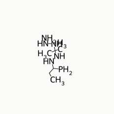 CCC(P)NNC(C)(C)NNN